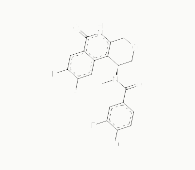 CCc1ccc(C(=O)N(C)[C@@H]2COCc3[nH]c(=O)c4cc(F)c(F)cc4c32)cc1F